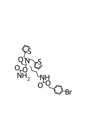 NC(=O)O[C@](C=O)(CCCCNC(=O)OCc1ccc(Br)cc1)N(Cc1cccs1)Cc1cccs1